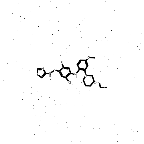 CCC[C@@H]1CCCN(c2cc(OC)ccc2Nc2cc(F)c(SNc3cscn3)cc2Cl)C1